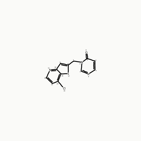 O=c1ccncn1Cc1cc2nccc(Cl)c2s1